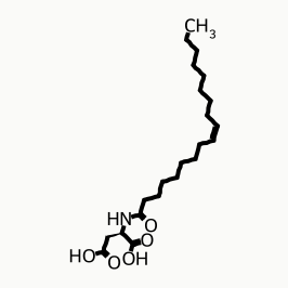 CCCCCCCC/C=C\CCCCCCCC(=O)N[C@H](CC(=O)O)C(=O)O